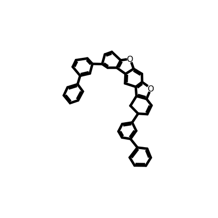 C1=CC(c2cccc(-c3ccccc3)c2)Cc2c1oc1cc3oc4ccc(-c5cccc(-c6ccccc6)c5)cc4c3cc21